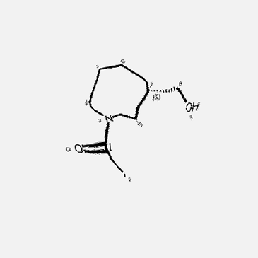 O=C(I)N1CCC[C@H](CO)C1